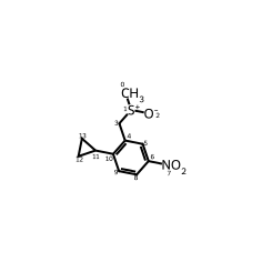 C[S+]([O-])Cc1cc([N+](=O)[O-])ccc1C1CC1